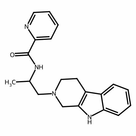 CC(CN1CCc2c([nH]c3ccccc23)C1)NC(=O)c1ccccn1